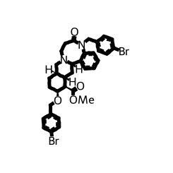 COC(=O)[C@@H]1[C@H]2C[C@H]3c4ccccc4N(Cc4ccc(Br)cc4)C(=O)CCN3C[C@@H]2CC[C@@H]1OCc1ccc(Br)cc1